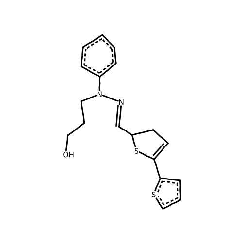 OCCCN(/N=C/C1CC=C(c2cccs2)S1)c1ccccc1